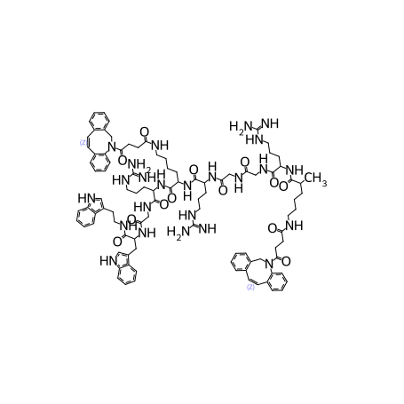 CC(CCCCNC(=O)CCC(=O)N1Cc2ccccc2/C=C\c2ccccc21)C(=O)NC(CCCNC(=N)N)C(=O)NCC(=O)NCC(=O)NC(CCCNC(=N)N)C(=O)NC(CCCCNC(=O)CCC(=O)N1Cc2ccccc2/C=C\c2ccccc21)C(=O)NC(CCCNC(=N)N)C(=O)NCC(=O)NC(Cc1c[nH]c2ccccc12)C(=O)NCCc1c[nH]c2ccccc12